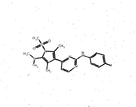 Cc1c(-c2ccnc(Nc3ccc(F)cc3)n2)c(C)n(S(C)(=O)=O)c1N(C)C